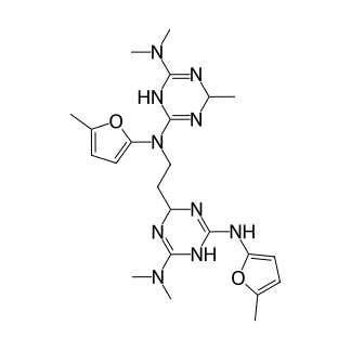 Cc1ccc(NC2=NC(CCN(C3=NC(C)N=C(N(C)C)N3)c3ccc(C)o3)N=C(N(C)C)N2)o1